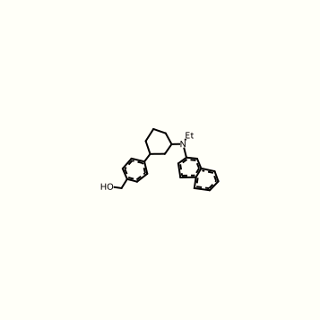 CCN(c1ccc2ccccc2c1)C1CCCC(c2ccc(CO)cc2)C1